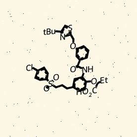 CCC(Oc1ccc(CCCS(=O)(=O)c2ccc(Cl)cc2)cc1NC(=O)c1cccc(OCc2nc(C(C)(C)C)cs2)c1)C(=O)O